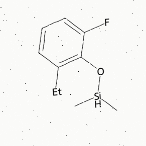 CCc1cccc(F)c1O[SiH](C)C